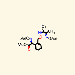 CON=C(C)C(C)=NOCc1ccccc1C(=NOC)C(=O)OC